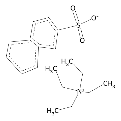 CC[N+](CC)(CC)CC.O=S(=O)([O-])c1ccc2ccccc2c1